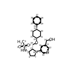 CS(=O)(=O)N[C@H]1CCN(c2cncc(CO)c2)[C@H]1CO[C@H]1CC[C@@H](c2ccccc2)CC1